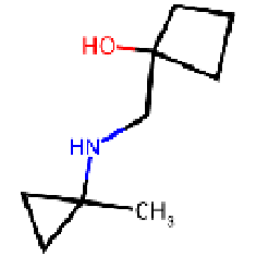 CC1(NCC2(O)CCC2)CC1